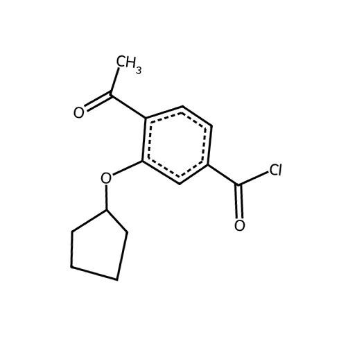 CC(=O)c1ccc(C(=O)Cl)cc1OC1CCCC1